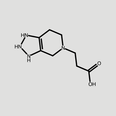 O=C(O)CCN1CCC2=C(C1)NNN2